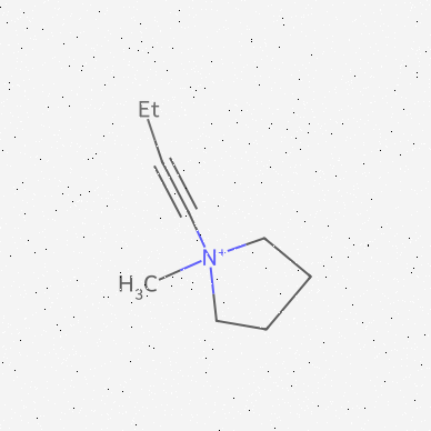 CCC#C[N+]1(C)CCCC1